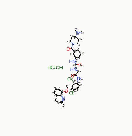 Cc1ccc2cccc(OCc3c(Cl)ccc(N(C)C(=O)CNC(=O)Nc4cccc(C(=O)N5CCC(N(C)C)CC5)c4)c3Cl)c2n1.Cl.Cl